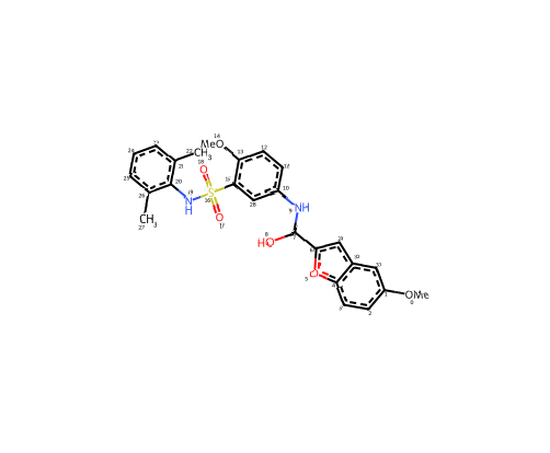 COc1ccc2oc(C(O)Nc3ccc(OC)c(S(=O)(=O)Nc4c(C)cccc4C)c3)cc2c1